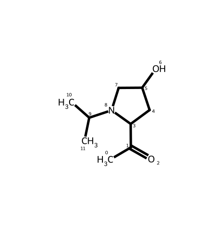 CC(=O)C1CC(O)CN1C(C)C